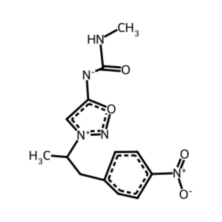 CNC(=O)[N-]c1c[n+](C(C)Cc2ccc([N+](=O)[O-])cc2)no1